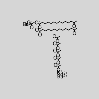 CC(=O)CCCCCCCCCCCC(=O)[O-].CC(=O)CCCCCCCCCCCC(=O)[O-].CC(=O)[O-].CC(=O)[O-].CC(=O)[O-].CC(=O)[O-].CC(=O)[O-].CC(=O)[O-].[Ba+2].[Ba+2].[K+].[K+].[Pd+2]